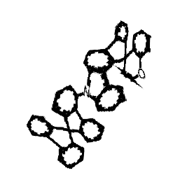 c1ccc2c(c1)Oc1ccccc1C21c2ccccc2-c2ccc3c(c21)c1ccccc1n3-c1cccc2c1-c1ccccc1C21c2ccccc2-c2ccccc21